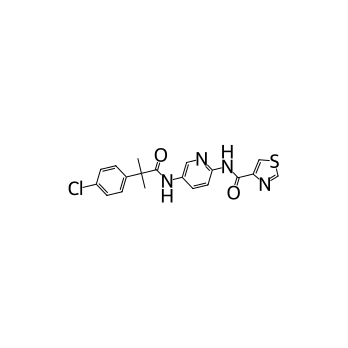 CC(C)(C(=O)Nc1ccc(NC(=O)c2cscn2)nc1)c1ccc(Cl)cc1